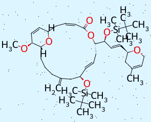 C=C1CCC[C@H]2O[C@@H](C=C[C@@H]2OC)C/C=C\C(=O)O[C@H]([C@H](/C=C/[C@@H]2CC(C)=CCO2)O[Si](C)(C)C(C)(C)C)C/C=C/[C@@H](O[Si](C)(C)C(C)(C)C)C1